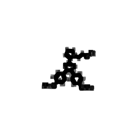 CCOCCn1cccc1-c1nc(-c2ccc(OC)cc2)c(-c2ccc(OC)cc2)s1